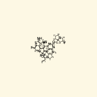 C=CC(=O)N1CCC(N(C)c2nc(OCC34CCCN3CC(F)C4)nc3c(F)c(-c4ccc(F)c5sc(N)c(C#N)c45)c(C(F)(F)F)cc23)C1CC